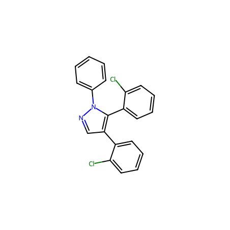 Clc1ccccc1-c1cnn(-c2ccccc2)c1-c1ccccc1Cl